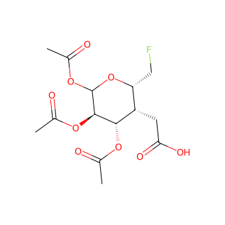 CC(=O)OC1O[C@H](CF)[C@H](CC(=O)O)[C@H](OC(C)=O)[C@H]1OC(C)=O